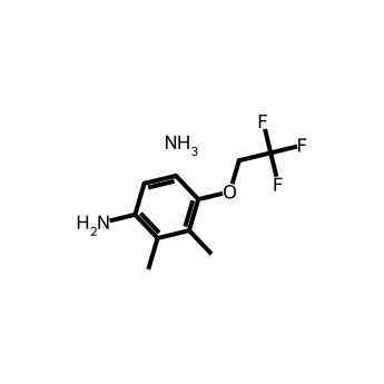 Cc1c(N)ccc(OCC(F)(F)F)c1C.N